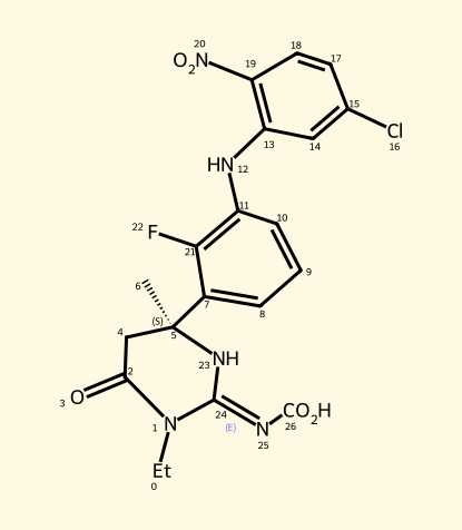 CCN1C(=O)C[C@@](C)(c2cccc(Nc3cc(Cl)ccc3[N+](=O)[O-])c2F)N/C1=N\C(=O)O